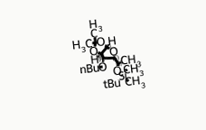 CCCCO[C@H]1[C@H]2OC(C)(C)O[C@H]2O[C@@H]1[C@@H](C)O[Si](C)(C)C(C)(C)C